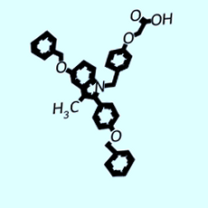 Cc1c(-c2ccc(OCc3ccccc3)cc2)n(Cc2ccc(OCC(=O)O)cc2)c2ccc(OCc3ccccc3)cc12